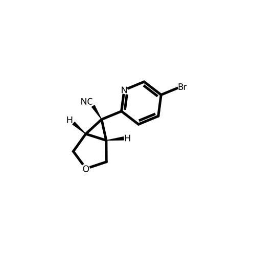 N#C[C@@]1(c2ccc(Br)cn2)[C@@H]2COC[C@@H]21